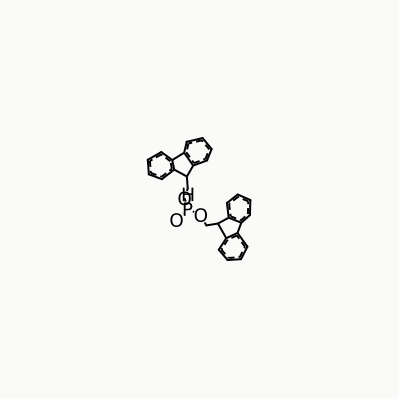 O=[PH](OCC1c2ccccc2-c2ccccc21)OCC1c2ccccc2-c2ccccc21